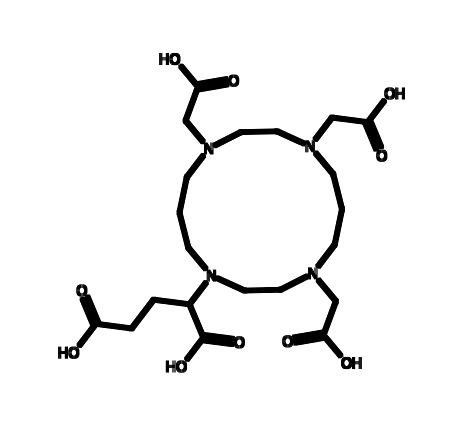 O=C(O)CCC(C(=O)O)N1CCCN(CC(=O)O)CCN(CC(=O)O)CCCN(CC(=O)O)CC1